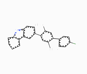 CCCCCCc1cc(-c2ccc3[nH]c4ccccc4c3c2)c(CCCCCC)cc1-c1ccc(Cl)cc1